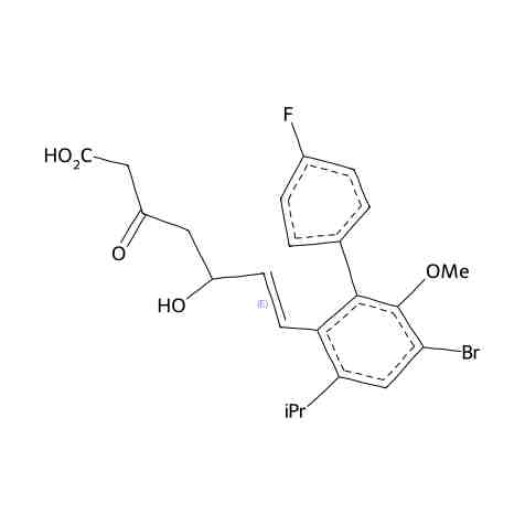 COc1c(Br)cc(C(C)C)c(/C=C/C(O)CC(=O)CC(=O)O)c1-c1ccc(F)cc1